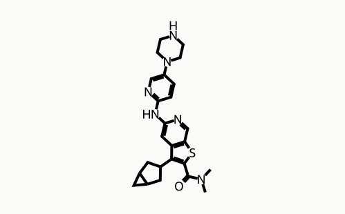 CN(C)C(=O)c1sc2cnc(Nc3ccc(N4CCNCC4)cn3)cc2c1C1CC2CC2C1